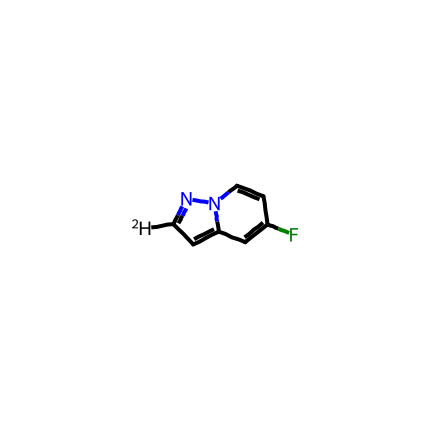 [2H]c1cc2cc(F)ccn2n1